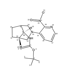 CC(C)(C)OC(=O)N[C@@H]1C2CC[C@H]1CN(c1cccnc1[N+](=O)[O-])C2